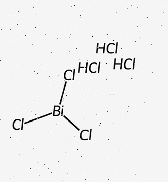 Cl.Cl.Cl.[Cl][Bi]([Cl])[Cl]